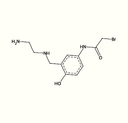 NCCNCc1cc(NC(=O)CBr)ccc1O